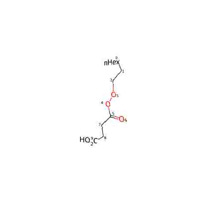 CCCCCCCCOOC(=O)CCC(=O)O